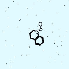 O=S=S1CCCc2[c]cccc21